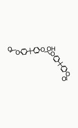 CC(C)(c1ccc(OCC(O)COc2ccc(C(C)(C)c3ccc(OC4CO4)cc3)cc2)cc1)c1ccc(OCC2CO2)cc1